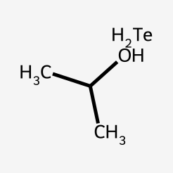 CC(C)O.[TeH2]